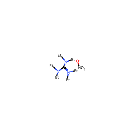 CCN(CC)C(N(CC)CC)=[N+](CC)CC.O=[N+]([O-])[O-]